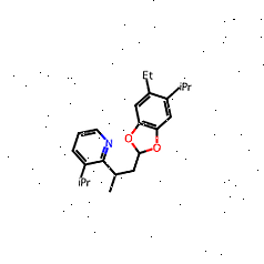 CCc1cc2c(cc1C(C)C)OC(CC(C)c1ncccc1C(C)C)O2